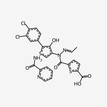 CC=NN(C(=O)c1ccc(C(=O)O)s1)c1csc(-c2ccc(Cl)c(Cl)c2)c1O.NC(=O)c1ccccn1